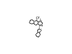 FC(F)(F)c1c2ccccc2cc2c(-c3cc4ccccc4s3)ncnc12